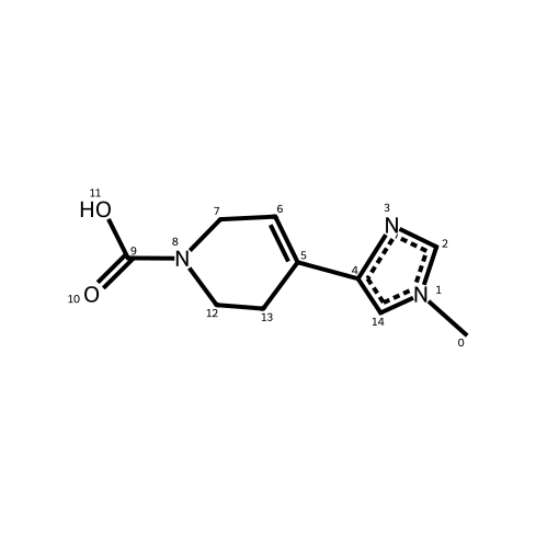 Cn1cnc(C2=CCN(C(=O)O)CC2)c1